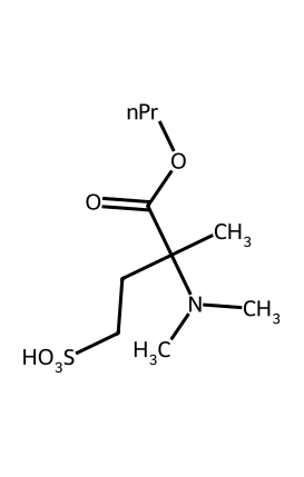 CCCOC(=O)C(C)(CCS(=O)(=O)O)N(C)C